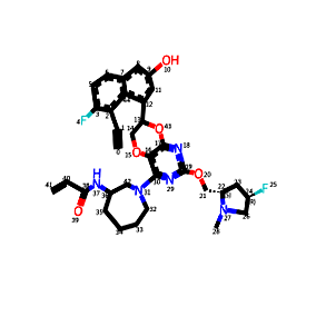 C#Cc1c(F)ccc2cc(O)cc(C3COc4c(nc(OC[C@@H]5C[C@@H](F)CN5C)nc4N4CCCCC(NC(=O)C=C)C4)O3)c12